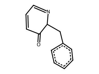 O=C1C=CC=NC1Cc1ccccc1